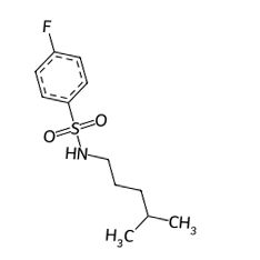 CC(C)CCCNS(=O)(=O)c1ccc(F)cc1